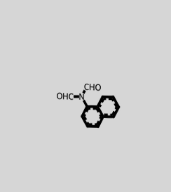 O=CN(C=O)c1cccc2ccccc12